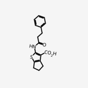 O=C(CCc1ccccc1)Nc1sc2c(c1C(=O)O)CCC2